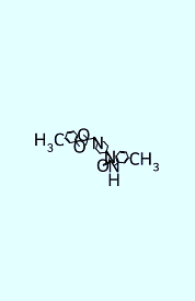 Cc1ccc2c(c1)OCC(CN1CCC(n3c(=O)[nH]c4cc(C)ccc43)CC1)O2